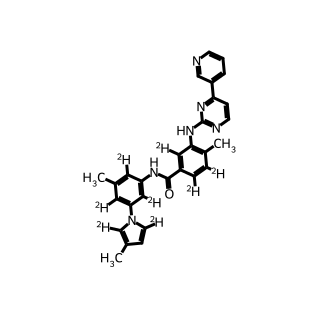 [2H]c1c([2H])c(C(=O)Nc2c([2H])c(C)c([2H])c(-n3c([2H])cc(C)c3[2H])c2[2H])c([2H])c(Nc2nccc(-c3cccnc3)n2)c1C